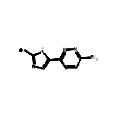 CCCCc1ncc(-c2ccc(C)nn2)[nH]1